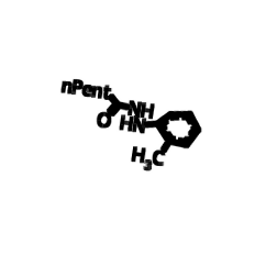 CCCCCC(=O)NNc1ccccc1C